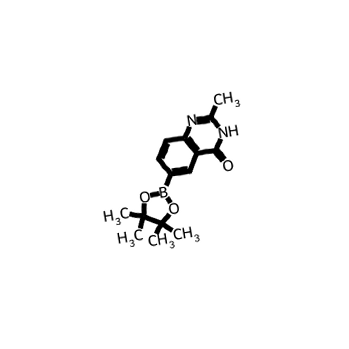 Cc1nc2ccc(B3OC(C)(C)C(C)(C)O3)cc2c(=O)[nH]1